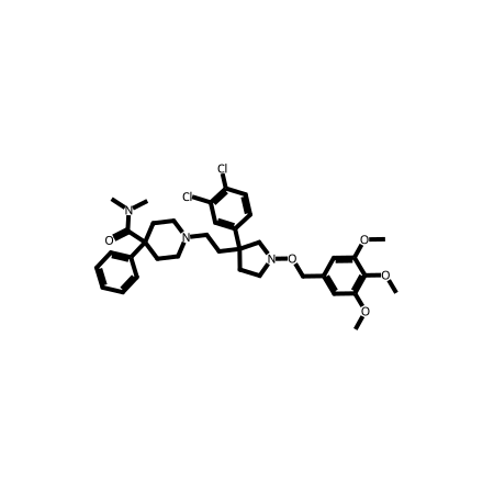 COc1cc(CON2CCC(CCN3CCC(C(=O)N(C)C)(c4ccccc4)CC3)(c3ccc(Cl)c(Cl)c3)C2)cc(OC)c1OC